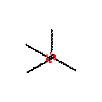 CCCCCCCCCCCCCCCCCCOC(=O)c1cc(C(=O)OCCCCCCCCCCCCCCCCCC)c(C(=O)OCCCCCCCCCCCCCCCCCC)cc1C(=O)OCCCCCCCCCCCCCCCCCC